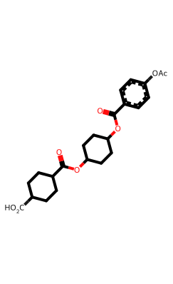 CC(=O)Oc1ccc(C(=O)OC2CCC(OC(=O)C3CCC(C(=O)O)CC3)CC2)cc1